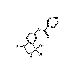 CCN1CNS(O)(O)c2cc(OC(=O)c3ccccc3)ccc21